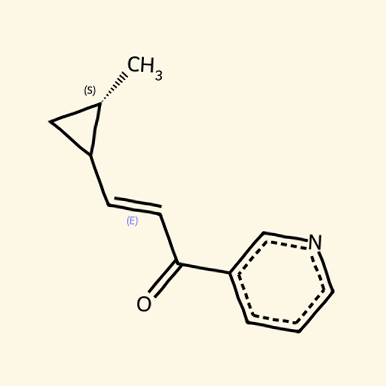 C[C@H]1CC1/C=C/C(=O)c1cccnc1